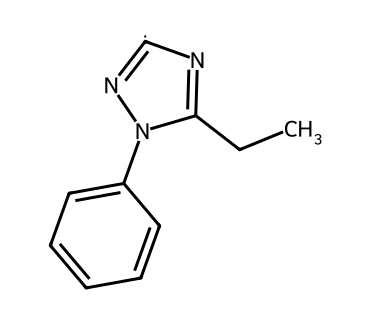 CCc1n[c]nn1-c1ccccc1